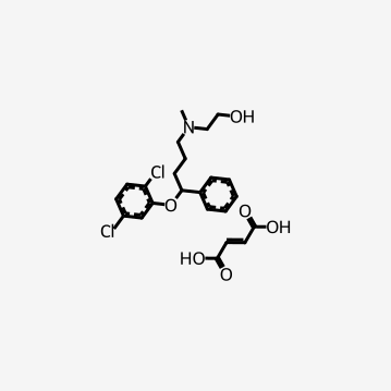 CN(CCO)CCCC(Oc1cc(Cl)ccc1Cl)c1ccccc1.O=C(O)/C=C/C(=O)O